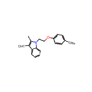 COc1ccc(OCCn2c(C)c(C=O)c3ccccc32)cc1